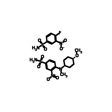 CO[C@H]1CC[C@H](N(C)c2ccc(S(N)(=O)=O)cc2[N+](=O)[O-])CC1.NS(=O)(=O)c1ccc(F)c([N+](=O)[O-])c1